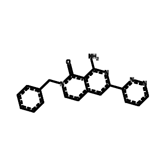 Nc1nc(-c2cccnn2)cc2ccn(Cc3ccccc3)c(=O)c12